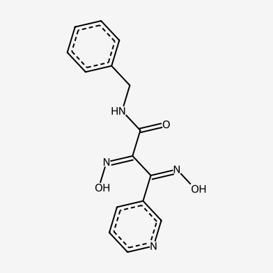 O=C(NCc1ccccc1)C(=NO)C(=NO)c1cccnc1